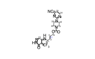 CC(/C=C/COC(=O)N1CCN(c2nccc(C#N)n2)CC1)Nc1cn[nH]c(=O)c1C(F)(F)F